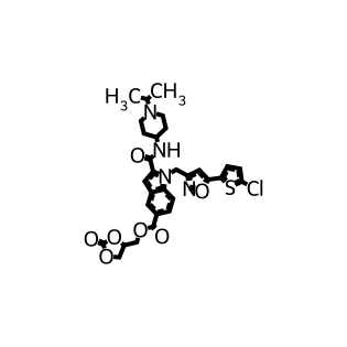 CC(C)N1CCC(NC(=O)c2cc3cc(C(=O)OCC4COC(=O)O4)ccc3n2Cc2cc(-c3ccc(Cl)s3)on2)CC1